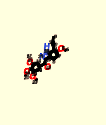 CC#Cc1c(OC)ccc2c(C(=O)c3cc(OC)c(OC)c(OC)c3)n[nH]c12